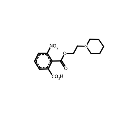 O=C(O)c1cccc([N+](=O)[O-])c1C(=O)OCCN1CCCCC1